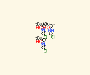 Cc1cc(-n2nc3ccc(Cl)cc3n2)c(O)c(C(C)(C)C)c1.Cc1cc(-n2nc3ccc(Cl)cc3n2)c(O)c(C(C)(C)C)c1.Cc1cc(-n2nc3ccc(Cl)cc3n2)c(O)c(C(C)(C)C)c1